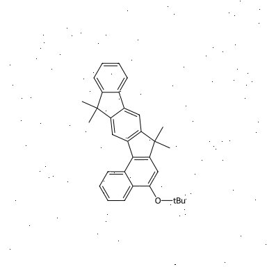 CC(C)(C)Oc1cc2c(c3ccccc13)-c1cc3c(cc1C2(C)C)-c1ccccc1C3(C)C